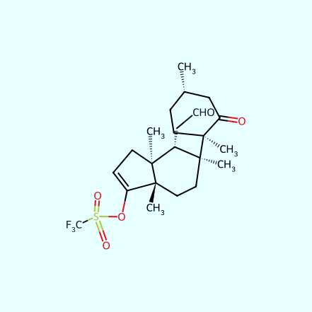 C[C@H]1CC[C@](C)([C@@]2(C)CC[C@]3(C)C(OS(=O)(=O)C(F)(F)F)=CC[C@@]3(C)[C@@H]2CC=O)C(=O)C1